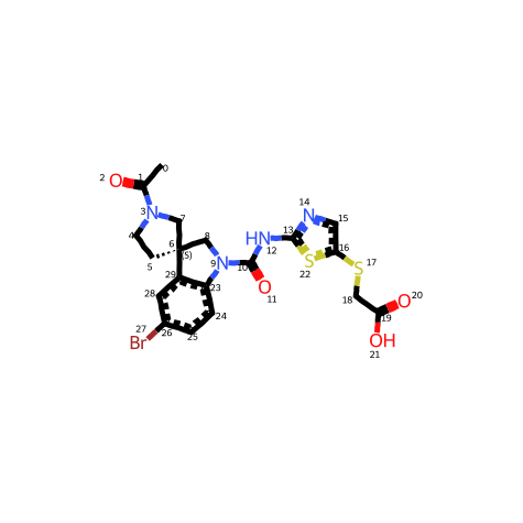 CC(=O)N1CC[C@]2(C1)CN(C(=O)Nc1ncc(SCC(=O)O)s1)c1ccc(Br)cc12